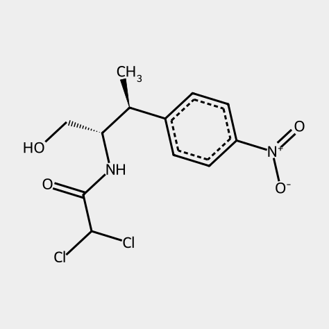 C[C@@H](c1ccc([N+](=O)[O-])cc1)[C@@H](CO)NC(=O)C(Cl)Cl